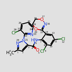 Cc1cc(C(=O)Nc2c(Cl)cc(Cl)cc2C2=NOCCO2)n(-c2ncccc2Cl)n1